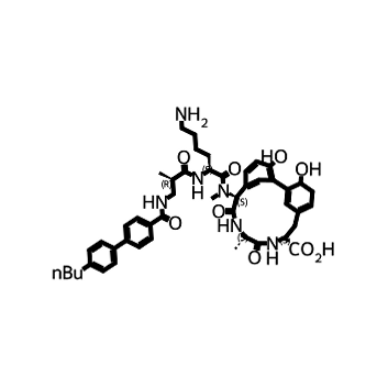 CCCCc1ccc(-c2ccc(C(=O)NC[C@@H](C)C(=O)N[C@@H](CCCCN)C(=O)N(C)[C@@H]3C(=O)N[C@@H](C)C(=O)N[C@H](C(=O)O)CC4=CCC(O)C(=C4)c4cc3ccc4O)cc2)cc1